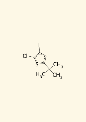 CC(C)(C)c1cc(I)c(Cl)s1